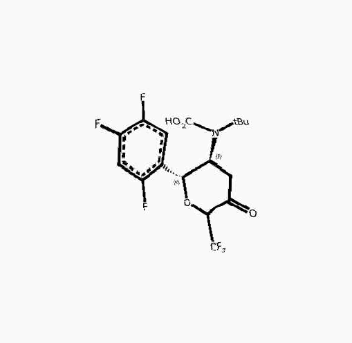 CC(C)(C)N(C(=O)O)[C@H]1CC(=O)C(C(F)(F)F)O[C@@H]1c1cc(F)c(F)cc1F